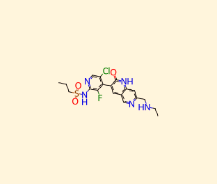 CCCS(=O)(=O)Nc1ncc(Cl)c(-c2cc3cnc(CNCC)cc3[nH]c2=O)c1F